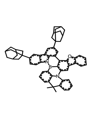 CC1(C)c2ccccc2N2c3cc4c(oc5ccccc54)c4c3B(c3cccc1c32)n1c2ccc(C35CC6CC(CC(C6)C3)C5)cc2c2cc(C35CC6CC(CC(C6)C3)C5)cc-4c21